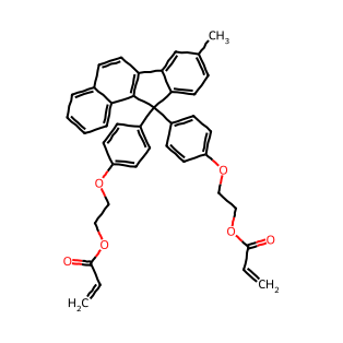 C=CC(=O)OCCOc1ccc(C2(c3ccc(OCCOC(=O)C=C)cc3)c3ccc(C)cc3-c3ccc4ccccc4c32)cc1